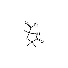 CCC(=O)C1(C)CC(C)(C)C(=O)N1